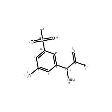 CCCCN(C(=O)CC)c1cc(N)cc(S(C)(=O)=O)c1